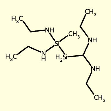 CCNC(NCC)[SiH2][Si](C)(NCC)NCC